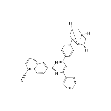 N#Cc1cccc2cc(-c3nc(-c4ccccc4)nc(-c4ccc(C56C[C@H]7C[C@H](C5)C[C@@H](C6)C7)cc4)n3)ccc12